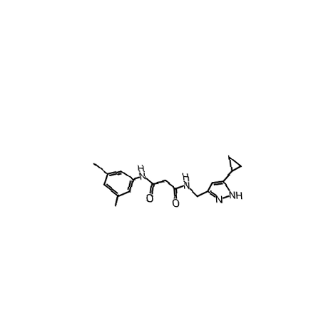 Cc1cc(C)cc(NC(=O)CC(=O)NCc2cc(C3CC3)[nH]n2)c1